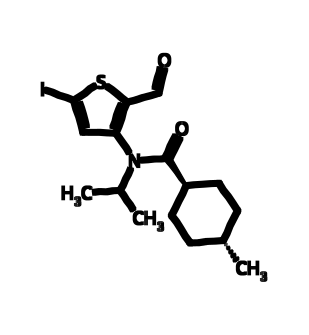 CC(C)N(c1cc(I)sc1C=O)C(=O)[C@H]1CC[C@H](C)CC1